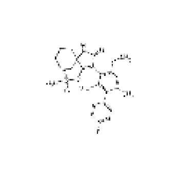 CCc1cc(C)c(-c2ccc(F)cc2)c(C)c1C1=C(OS(C)(=O)=O)C2(CCCCC2)NC1=O